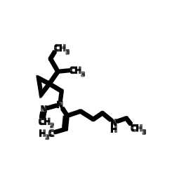 C=NN(CC1(C(C)CC)CC1)/C(=C\C)CCCNCC